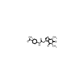 CC(=O)c1ccc(NC(=O)Cn2cnc3c2c(=O)n(C)c(=O)n3C)cc1